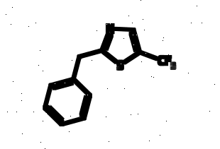 FC(F)(F)c1cnc(Cc2ccccc2)s1